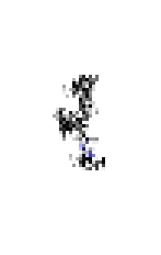 C=C(/C=C\C=C/NO)CNc1nc(-c2cccc(OCC(O)CNC)c2)nc2c1cnn2C1CC1